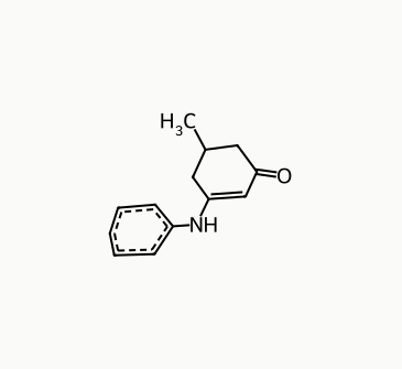 CC1CC(=O)C=C(Nc2ccccc2)C1